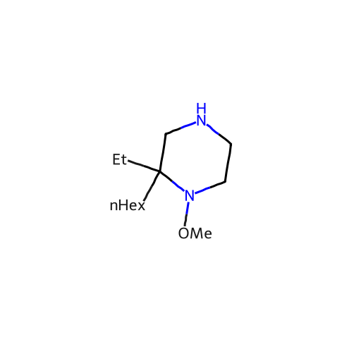 CCCCCCC1(CC)CNCCN1OC